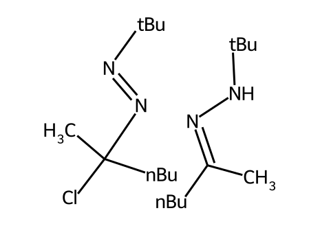 CCCCC(C)(Cl)N=NC(C)(C)C.CCCCC(C)=NNC(C)(C)C